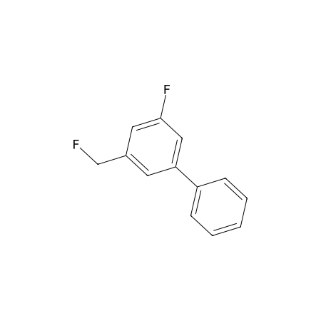 FCc1cc(F)cc(-c2ccccc2)c1